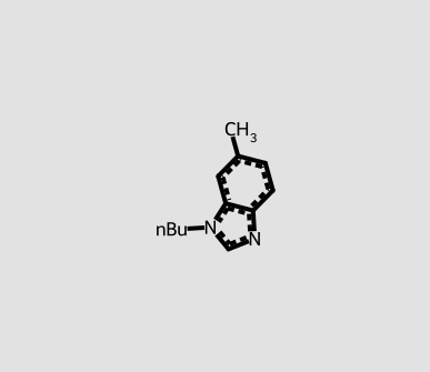 CCCCn1cnc2ccc(C)cc21